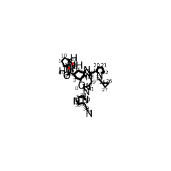 COc1cc(C(=O)N2C[C@H]3CC[C@@H]2[C@@H]3N)cc2nc(-c3cccn3CC3CC3)n(CC3CN(c4cncc(C#N)n4)C3)c12